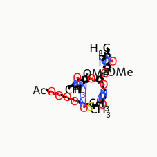 C/C=C1\C[C@H]2C=Nc3cc(OCc4cc(COc5cc6c(cc5OC)C(=O)N5C/C(=C/C)C[C@H]5C=N6)cc(OCCN5CCN(C(=O)CCC(C)(C)SCC(=O)NCCOCCOCCOCCOCCC(C)=O)CC5)c4)c(OC)cc3C(=O)N2C1